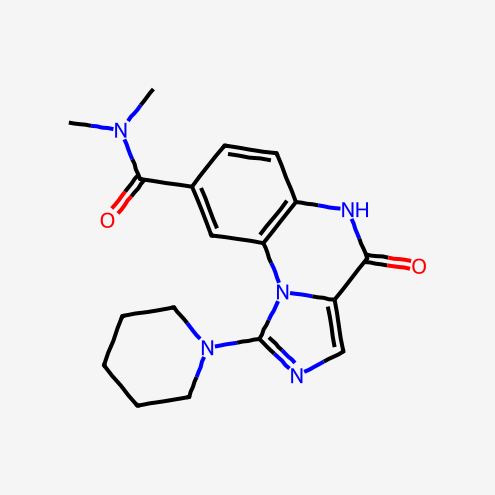 CN(C)C(=O)c1ccc2[nH]c(=O)c3cnc(N4CCCCC4)n3c2c1